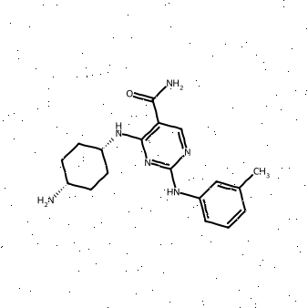 Cc1cccc(Nc2ncc(C(N)=O)c(N[C@H]3CC[C@@H](N)CC3)n2)c1